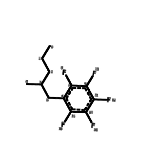 CCCC(C)Cc1c(F)c(F)c(F)c(F)c1F